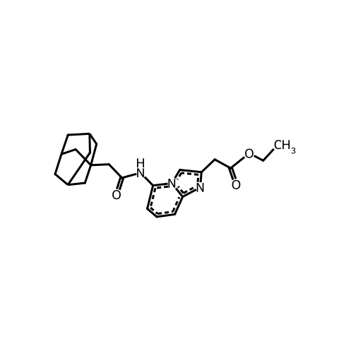 CCOC(=O)Cc1cn2c(NC(=O)CC34CC5CC(CC(C5)C3)C4)cccc2n1